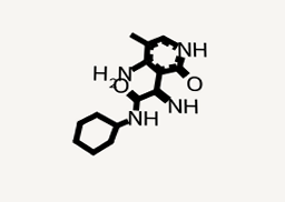 Cc1c[nH]c(=O)c(C(=N)C(=O)NC2CCCCC2)c1N